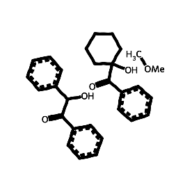 COC.O=C(c1ccccc1)C(O)c1ccccc1.O=C(c1ccccc1)C1(O)CCCCC1